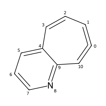 C1=CC=Cc2cccnc2C=1